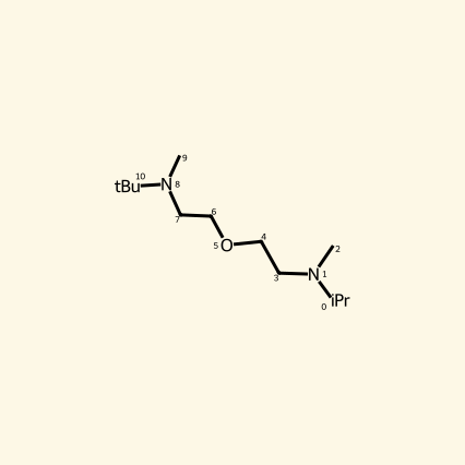 CC(C)N(C)CCOCCN(C)C(C)(C)C